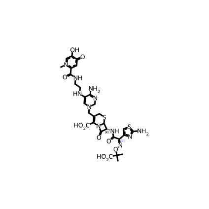 Cn1cc(O)c(=O)cc1C(=O)NCCNC1=CN(CC2=C(C(=O)O)N3C(=O)[C@@H](NC(=O)/C(=N\OC(C)(C)C(=O)O)c4csc(N)n4)C3SC2)CN=C1N